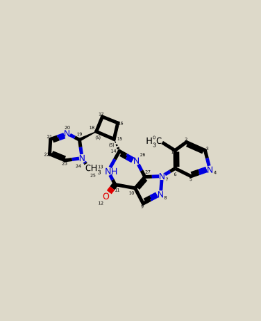 Cc1ccncc1-n1ncc2c(=O)[nH]c([C@H]3CC[C@@H]3C3N=CC=CN3C)nc21